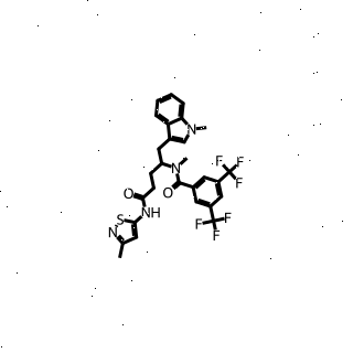 Cc1cc(NC(=O)CCC(Cc2cn(C)c3ccccc23)N(C)C(=O)c2cc(C(F)(F)F)cc(C(F)(F)F)c2)sn1